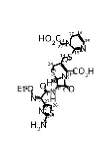 CCO/N=C(\C(=O)N[C@@H]1C(=O)N2C(C(=O)O)=C(CSC3=NC=CCN3CC(=O)O)CS[C@H]12)c1csc(N)n1